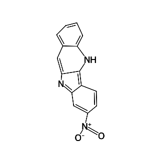 O=[N+]([O-])c1ccc2c3[nH]c4ccccc4cc-3nc2c1